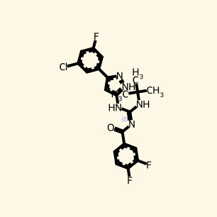 CC(C)(C)N/C(=N/C(=O)c1ccc(F)c(F)c1)Nc1cc(-c2cc(F)cc(Cl)c2)n[nH]1